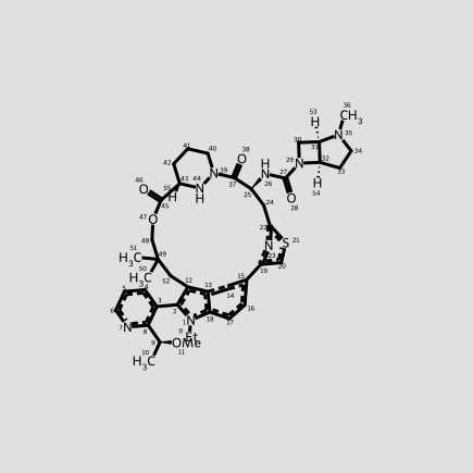 CCn1c(-c2cccnc2[C@H](C)OC)c2c3cc(ccc31)-c1csc(n1)C[C@H](NC(=O)N1C[C@@H]3[C@H]1CCN3C)C(=O)N1CCC[C@H](N1)C(=O)OCC(C)(C)C2